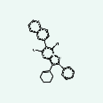 Clc1nc2c(C3=CCCCC3)c(-c3ccccc3)nn2c(Cl)c1-c1ccc2ncccc2c1